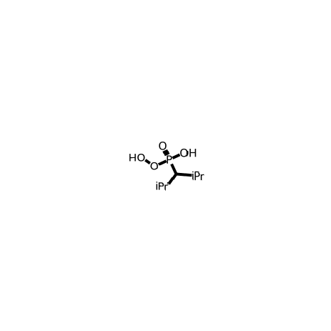 CC(C)C(C(C)C)P(=O)(O)OO